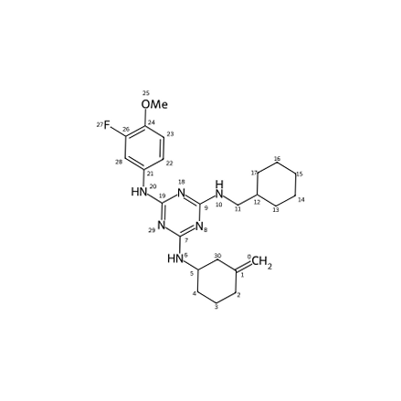 C=C1CCCC(Nc2nc(NCC3CCCCC3)nc(Nc3ccc(OC)c(F)c3)n2)C1